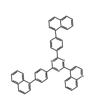 c1ccc2c(-c3ccc(-c4nc(-c5ccc(-c6cccc7ccccc67)cc5)nc(-c5ccnc6ccccc56)n4)cc3)cccc2c1